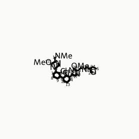 CNCc1ncc(-c2cccc(-c3cccc(-c4cnc(CNCC5CCOC5)c(OC)n4)c3Cl)c2Cl)nc1OC